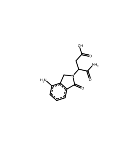 NC(=O)C(CC(=O)O)N1Cc2c(N)cccc2C1=O